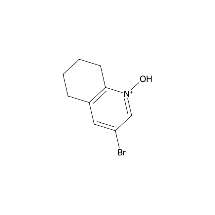 O[n+]1cc(Br)cc2c1CCCC2